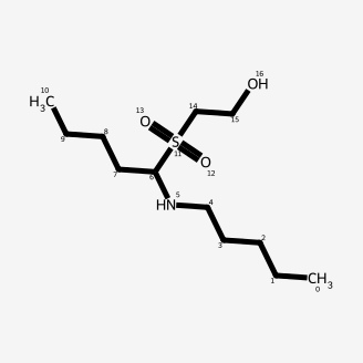 CCCCCNC(CCCC)S(=O)(=O)CCO